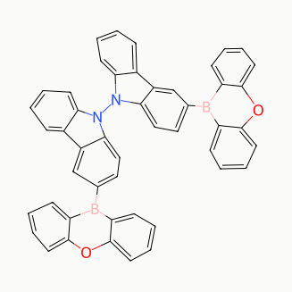 c1ccc2c(c1)Oc1ccccc1B2c1ccc2c(c1)c1ccccc1n2-n1c2ccccc2c2cc(B3c4ccccc4Oc4ccccc43)ccc21